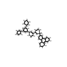 CC1(c2ccc3c4ccccc4c4ccccc4c3c2)C=C(C2=CC(c3cc(-c4ccccc4)nc(-c4ccccc4)c3)CC=C2)C=CC1